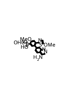 COc1cnc(-c2cc(OC)c(B(O)OC=O)cc2-c2ccc3c(N)cnnc3c2)s1